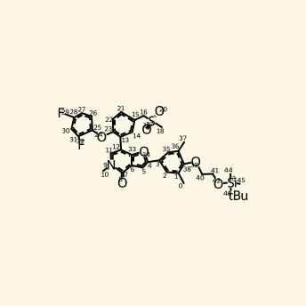 Cc1cc(-c2cc3c(=O)n(C)cc(-c4cc(CS(C)(=O)=O)ccc4Oc4ccc(F)cc4F)c3o2)cc(C)c1OCCO[Si](C)(C)C(C)(C)C